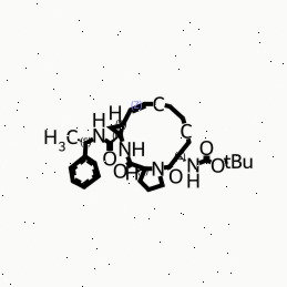 C[C@H](NC(=O)[C@@]12C[C@H]1/C=C\CCCCC[C@H](NC(=O)OC(C)(C)C)C(=O)N1CCC[C@H]1C(=O)N2)c1ccccc1